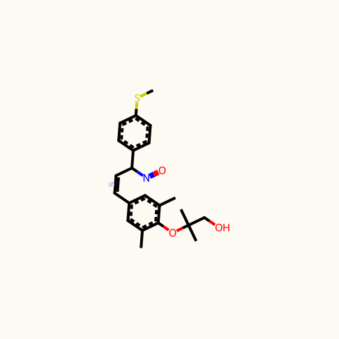 CSc1ccc(C(/C=C\c2cc(C)c(OC(C)(C)CO)c(C)c2)N=O)cc1